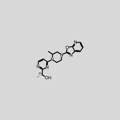 CC1CN(c2nc3cccnc3o2)CCN1c1ccnc([C@@H](C)O)n1